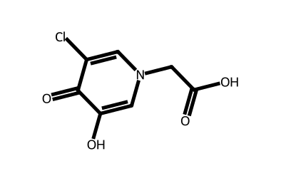 O=C(O)Cn1cc(O)c(=O)c(Cl)c1